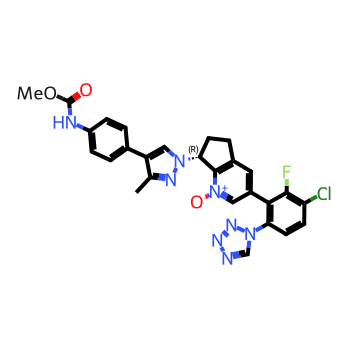 COC(=O)Nc1ccc(-c2cn([C@@H]3CCc4cc(-c5c(-n6cnnn6)ccc(Cl)c5F)c[n+]([O-])c43)nc2C)cc1